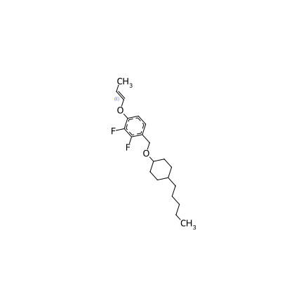 C/C=C/Oc1ccc(COC2CCC(CCCCC)CC2)c(F)c1F